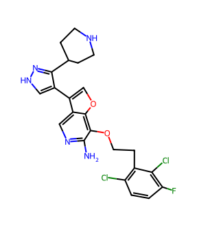 Nc1ncc2c(-c3c[nH]nc3C3CCNCC3)coc2c1OCCc1c(Cl)ccc(F)c1Cl